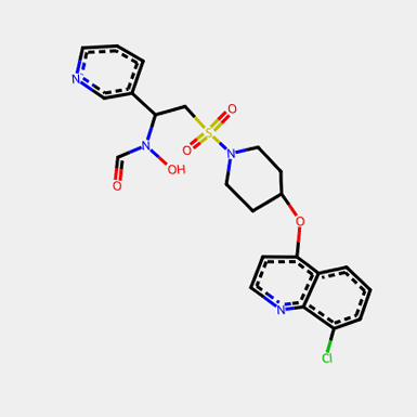 O=CN(O)C(CS(=O)(=O)N1CCC(Oc2ccnc3c(Cl)cccc23)CC1)c1cccnc1